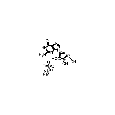 Nc1nc2c(ncn2[C@@H]2O[C@H](CO)[C@@H](O)[C@H]2O)c(=O)[nH]1.O=P([O-])([O-])O.[Na+].[Na+]